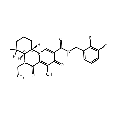 CCN1C(=O)c2c(O)c(=O)c(C(=O)NCc3cccc(Cl)c3F)cn2[C@H]2CCCC(F)(F)[C@H]21